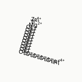 CC[O-].CC[O-].CC[O-].CC[O-].CC[O-].CC[O-].CC[O-].CC[O-].CC[O-].CC[O-].CC[O-].CC[O-].CC[O-].CC[O-].[Hf+4].[Mg+2].[Ti+4].[Zr+4]